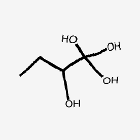 CC[C](O)C(O)(O)O